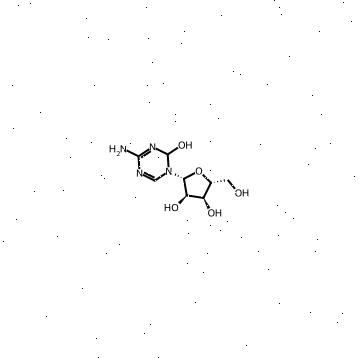 NC1=NC(O)N([C@@H]2O[C@H](CO)[C@@H](O)[C@H]2O)C=N1